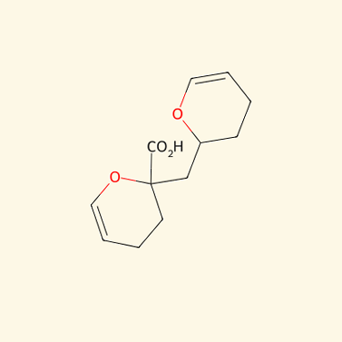 O=C(O)C1(CC2CCC=CO2)CCC=CO1